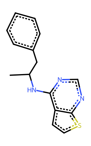 CC(Cc1ccccc1)Nc1ncnc2sccc12